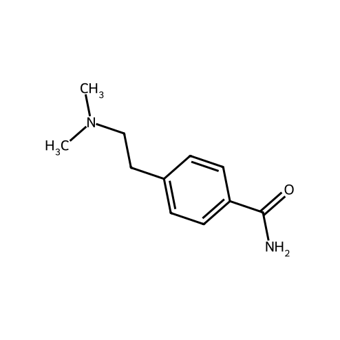 CN(C)CCc1ccc(C(N)=O)cc1